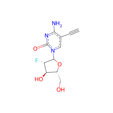 C#Cc1cn(C2O[C@H](CO)[C@@H](O)[C@@H]2F)c(=O)nc1N